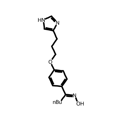 CCCCC(=NO)c1ccc(OCCCc2c[nH]cn2)cc1